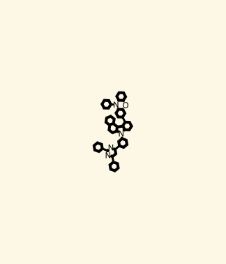 c1ccc(-c2cc(-c3cccc(-n4c5cccc(-c6ccc7c(c6)Oc6ccccc6N7c6ccccc6)c5c5c6ccccc6ccc54)c3)nc(-c3ccccc3)n2)cc1